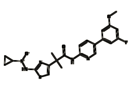 COc1cc(F)cc(-c2ccc(NC(=O)C(C)(C)c3csc(N[S+]([O-])C4CC4)n3)nc2)c1